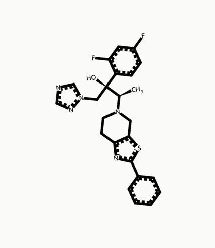 C[C@@H](N1CCc2nc(-c3ccccc3)sc2C1)[C@](O)(Cn1cncn1)c1ccc(F)cc1F